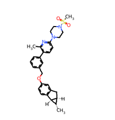 Cc1nc(N2CCN(S(C)(=O)=O)CC2)ccc1-c1cccc(COc2ccc3c(c2)C[C@H]2[C@H](C)[C@@H]32)c1